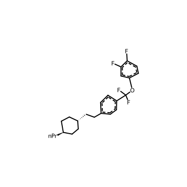 CCC[C@H]1CC[C@H](CCc2ccc(C(F)(F)Oc3ccc(F)c(F)c3)cc2)CC1